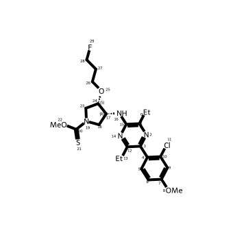 CCc1nc(-c2ccc(OC)cc2Cl)c(CC)nc1N[C@@H]1CN(C(=S)OC)C[C@@H]1OCCCF